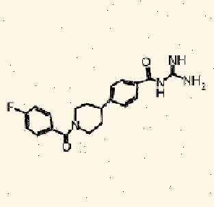 N=C(N)NC(=O)c1ccc(C2CCN(C(=O)c3ccc(F)cc3)CC2)cc1